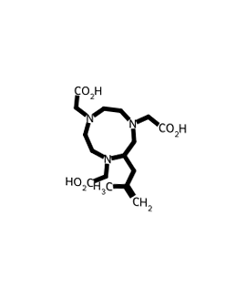 C=C(C)CC1CN(CC(=O)O)CCN(CC(=O)O)CCN1CC(=O)O